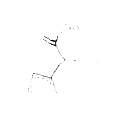 [NH]C(=O)C(C(=O)O)c1ccsc1